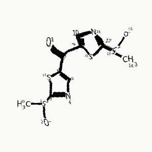 C[S+]([O-])c1ncc(C(=O)c2cnc([S+](C)[O-])s2)s1